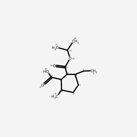 CCC1CCC(C)C(C(=O)O)C1C(=O)OC(C)C